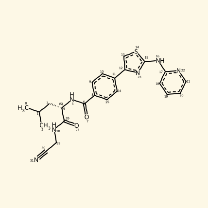 CC(C)C[C@H](NC(=O)c1ccc(-c2csc(Nc3ccccn3)n2)cc1)C(=O)NCC#N